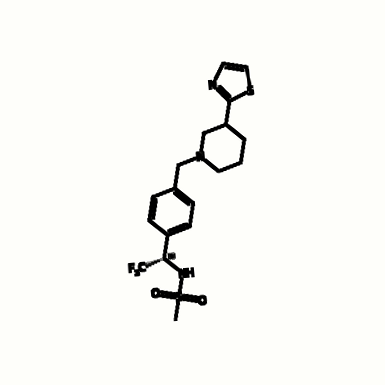 CS(=O)(=O)N[C@@H](c1ccc(CN2CCCC(c3nccs3)C2)cc1)C(F)(F)F